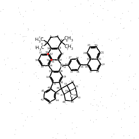 CC1(C)CCC(C)(C)c2cc(N(c3ccc(-c4cccc5ccccc45)cc3)c3cc4c(cc3-c3ccccc3)-c3ccccc3C43C4CC5CC6CC3C64C5)ccc21